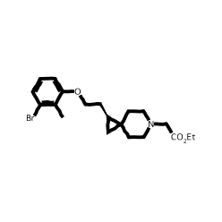 CCOC(=O)CN1CCC2(CC1)C[C@H]2CCOc1cccc(Br)c1C